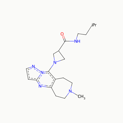 CC(C)CCNC(=O)C1CN(c2c3c(nc4ccnn24)CCN(C)CC3)C1